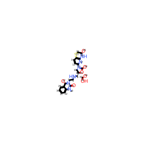 Cn1c(=O)n(CCNC[C@@H]2CN(c3ccc4c(n3)NC(=O)CS4)C(=O)O2)c(=O)c2ccccc21.O=CO